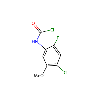 COc1cc(NC(=O)Cl)c(F)cc1Cl